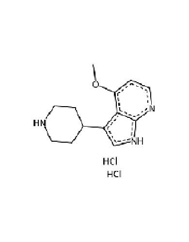 COc1ccnc2[nH]cc(C3CCNCC3)c12.Cl.Cl